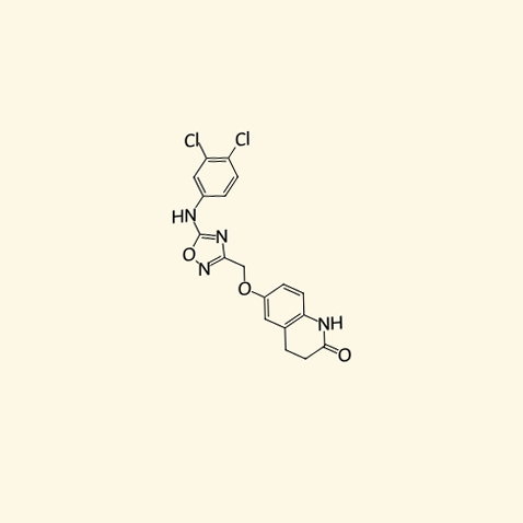 O=C1CCc2cc(OCc3noc(Nc4ccc(Cl)c(Cl)c4)n3)ccc2N1